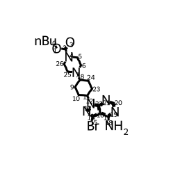 CCCCOC(=O)N1CCN(C2CCC(n3nc(Br)c4c(N)ncnc43)CC2)CC1